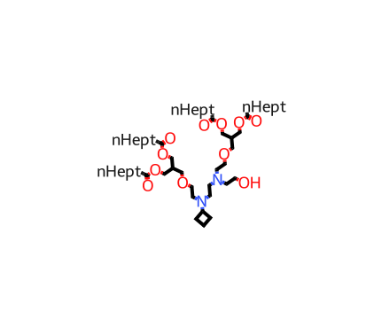 CCCCCCCC(=O)OCC(COCCN(CCO)CCN(CCOCC(COC(=O)CCCCCCC)COC(=O)CCCCCCC)C1CCC1)COC(=O)CCCCCCC